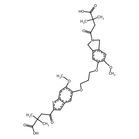 COc1cc2c(cc1OCCCOc1cc3cc(C(=O)CC(C)(C)C(=O)O)sc3cc1OC)CN(C(=O)CC(C)(C)C(=O)O)C2